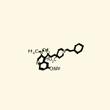 COc1ccc2ncc(N(C)C)c(C(F)CCC3(C(=O)O)CCN(CCC4CCCCC4)CC3)c2c1